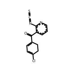 O=C(C1=CC=C(Cl)CC1)c1cccnc1N=C=S